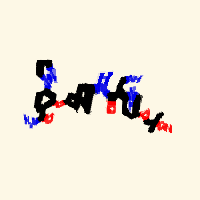 CC(C)(O)COC1=CN/C(=C(\C=N)C(=O)NC2CC3(C2)CC(Oc2cc(-n4cccn4)ccc2C(N)=O)C3)C=C1